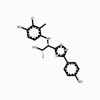 Cc1c(N[C@@H](c2nnc(-c3ccc(N=O)cc3)o2)[C@H](C)O)ccc(C#N)c1Cl